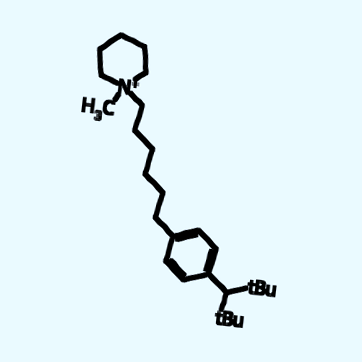 CC(C)(C)C(c1ccc(CCCCCC[N+]2(C)CCCCC2)cc1)C(C)(C)C